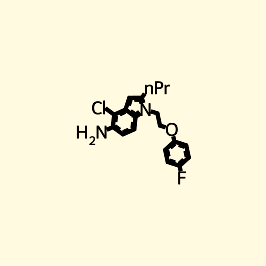 CCCc1cc2c(Cl)c(N)ccc2n1CCOc1ccc(F)cc1